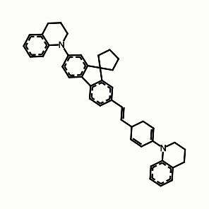 C1=CC(/C=C/c2ccc3c(c2)C2(CCCC2)c2cc(N4CCCc5ccccc54)ccc2-3)CC=C1N1CCCc2ccccc21